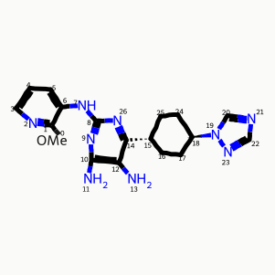 COc1ncccc1Nc1nc(N)c(N)c([C@H]2CC[C@H](n3cncn3)CC2)n1